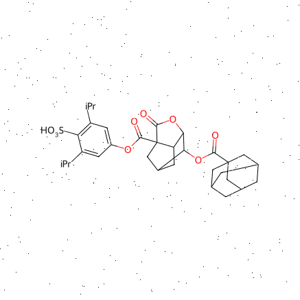 CC(C)c1cc(OC(=O)C23CC4CC2C(OC3=O)C4OC(=O)C23CC4CC(CC(C4)C2)C3)cc(C(C)C)c1S(=O)(=O)O